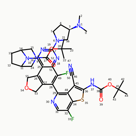 CN(C)[C@@H]1CCN(c2nc(N3C4CCC3CN(C(=O)OC(C)(C)C)C4)c3c4c(c(-c5ncc(F)c6sc(NC(=O)OC(C)(C)C)c(C#N)c56)c(F)c3n2)COC4)C1